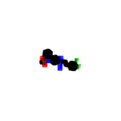 CS(=O)(=O)Nc1ccccc1-c1ccc2[nH]c(/C=C/c3ccc(F)c(F)c3)nc2c1